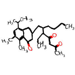 CCCCC(CC1CC(=O)c2c(C)c(C)cc(C(C)C)c2C1)C(CC)C(=O)CC(C)=O